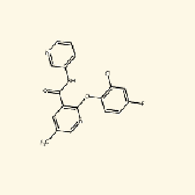 O=C(Nc1cccnc1)c1cc(C(F)(F)F)cnc1Oc1ccc(F)cc1Cl